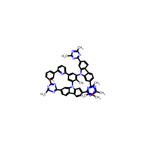 Cc1nc(C)nc(-c2ccc3c4ccc(-c5nc(C)nc(C)n5)cc4n(-c4cc(-c5cccc(-c6ccccc6)n5)cc(-n5c6cc(-c7nc(C)nc(C)n7)ccc6c6ccc(-c7nc(C)nc(C)n7)cc65)c4C#N)c3c2)n1